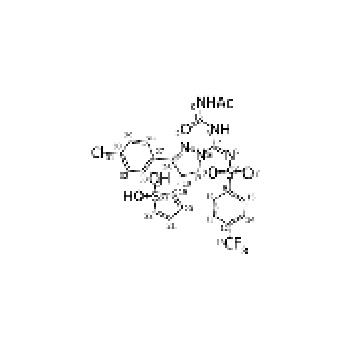 CC(=O)NC(=O)N/C(=N/S(=O)(=O)c1ccc(C(F)(F)F)cc1)N1C[C@H](C2=CC=CS2(O)O)C(c2ccc(Cl)cc2)=N1